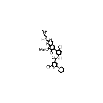 COn1c(=O)c(-c2cc(NC(=O)c3cc(Cl)nc(N4CCCCC4)c3)ccc2Cl)cc2cnc(NCCN(C)C)nc21